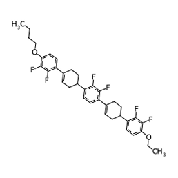 CCCCOc1ccc(C2=CCC(c3ccc(C4=CCC(c5ccc(OCC)c(F)c5F)CC4)c(F)c3F)CC2)c(F)c1F